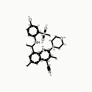 Cc1cc(C(C)Nc2ccc(Cl)cc2S(C)(=O)=O)c2nc(N3CCOCC3)c(C)c(C#N)c2c1